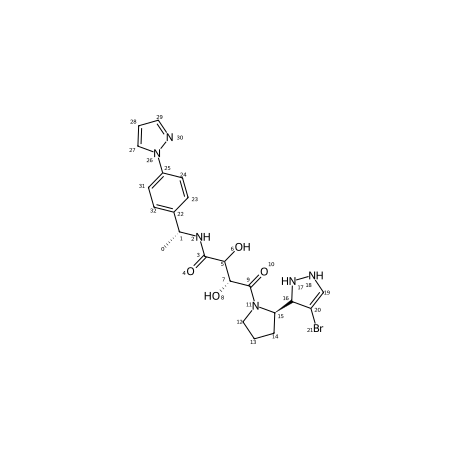 C[C@@H](NC(=O)C(O)[C@@H](O)C(=O)N1CCC[C@@H]1C1NNC=C1Br)c1ccc(-n2cccn2)cc1